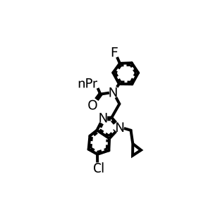 CCCC(=O)N(Cc1nc2ccc(Cl)cc2n1CC1CC1)c1cccc(F)c1